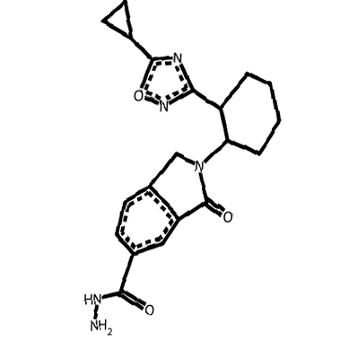 NNC(=O)c1ccc2c(c1)C(=O)N(C1CCCCC1c1noc(C3CC3)n1)C2